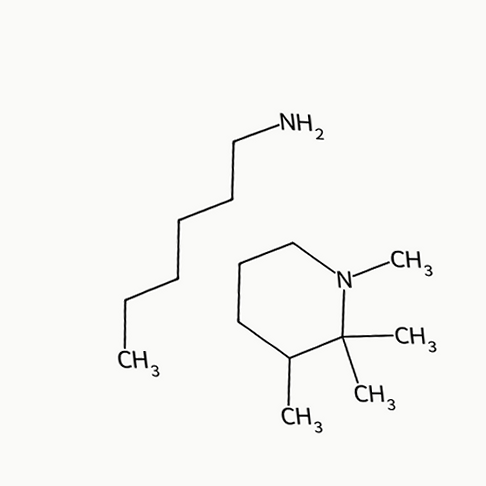 CC1CCCN(C)C1(C)C.CCCCCCN